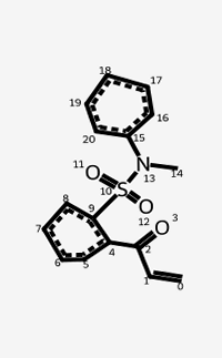 C=CC(=O)c1ccccc1S(=O)(=O)N(C)c1ccccc1